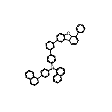 C1=CC2c3cc(-c4cccc(-c5ccc(N(c6ccc(-c7cccc8ccccc78)cc6)c6cccc7ccccc67)cc5)c4)ccc3OC2C(c2ccccc2)=C1